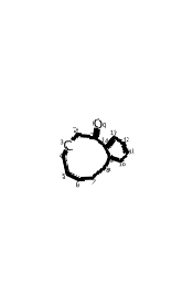 O=C1CCCCCCCc2ccccc21